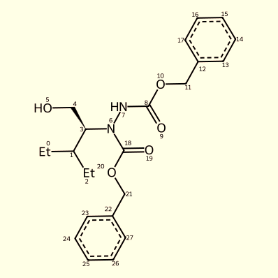 CCC(CC)[C@@H](CO)N(NC(=O)OCc1ccccc1)C(=O)OCc1ccccc1